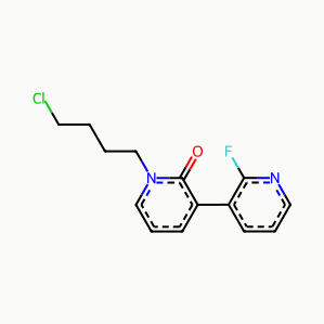 O=c1c(-c2cccnc2F)cccn1CCCCCl